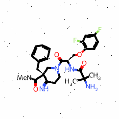 CNC(=O)[C@]1(Cc2ccccc2)CN(C(=O)[C@@H](COc2ccc(F)cc2F)NC(=O)C(C)(C)N)CCC1=N